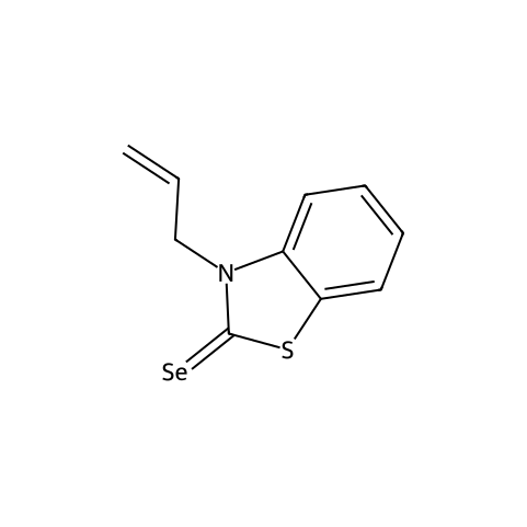 C=CCn1c(=[Se])sc2ccccc21